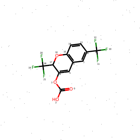 O=C(O)OC1=Cc2cc(C(F)(F)F)ccc2OC1C(F)(F)F